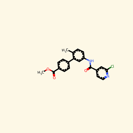 COC(=O)c1ccc(-c2cc(NC(=O)c3ccnc(Cl)c3)ccc2C)cc1